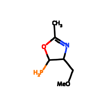 COCC1N=C(C)OC1P